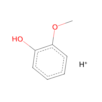 COc1ccccc1O.[H+]